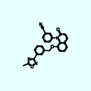 Cc1nc(-c2cccc(COc3cccc4ccc(=O)n(-c5cccc(C#N)c5)c34)c2)no1